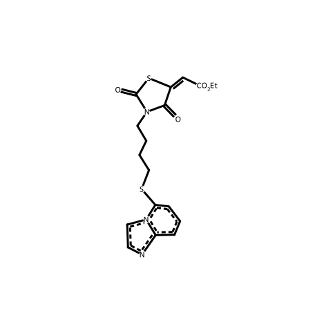 CCOC(=O)C=C1SC(=O)N(CCCCSc2cccc3nccn23)C1=O